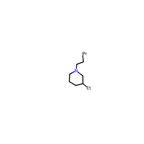 CCC1CCCN(CCC(C)C)C1